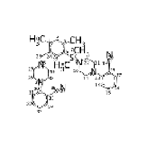 Cc1cc(C)c(S(C)(C)N2CCN(c3ccccc3C#N)CC2)cc1CN1CCN(c2ccccc2C#N)CC1